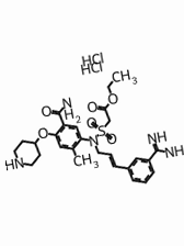 CCOC(=O)CS(=O)(=O)N(C/C=C/c1cccc(C(=N)N)c1)c1cc(C(N)=O)c(OC2CCNCC2)cc1C.Cl.Cl